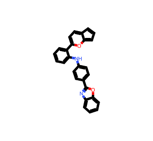 c1cc2ccc(-c3ccccc3Nc3ccc(-c4nc5ccccc5o4)cc3)oc-2c1